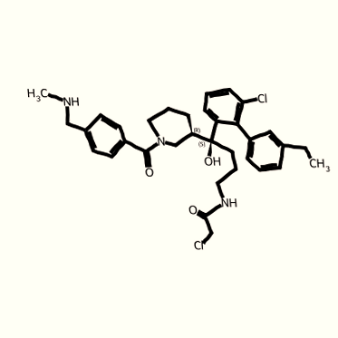 CCc1cccc(-c2c(Cl)cccc2[C@](O)(CCCNC(=O)CCl)[C@@H]2CCCN(C(=O)c3ccc(CNC)cc3)C2)c1